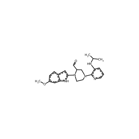 COc1ccc2cc(N3CCN(c4ncccc4NC(C)C)CC3C=O)[nH]c2c1